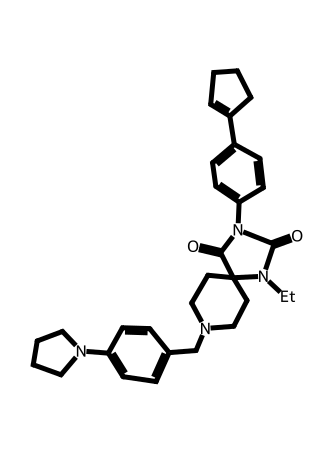 CCN1C(=O)N(c2ccc(C3=CCCC3)cc2)C(=O)C12CCN(Cc1ccc(N3CCCC3)cc1)CC2